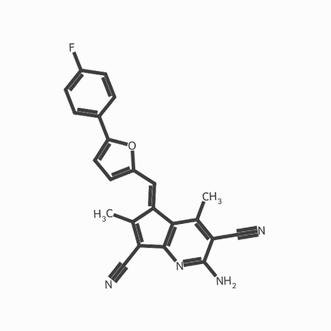 CC1=C(C#N)c2nc(N)c(C#N)c(C)c2/C1=C/c1ccc(-c2ccc(F)cc2)o1